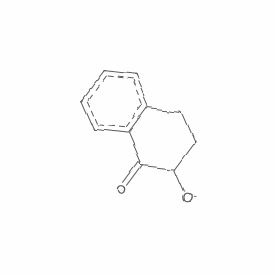 [O]C1CCc2ccccc2C1=O